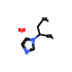 CCC(C)n1ccnc1.O